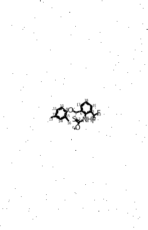 COC(=S)Nc1c(COc2ccc(C)cc2C)cccc1C(F)F